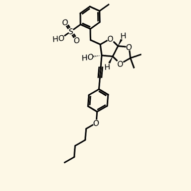 CCCCCOc1ccc(C#C[C@@]2(O)C(Cc3cc(C)ccc3S(=O)(=O)O)O[C@@H]3OC(C)(C)O[C@@H]32)cc1